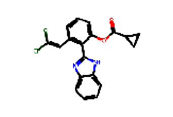 O=C(Oc1cccc(C=C(Cl)Cl)c1-c1nc2ccccc2[nH]1)C1CC1